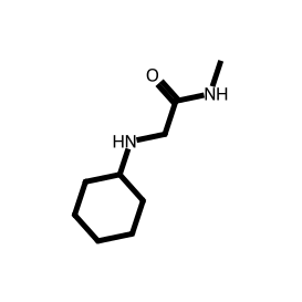 CNC(=O)CNC1CCCCC1